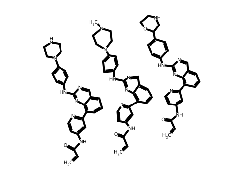 C=CC(=O)Nc1ccnc(-c2cccc3cnc(Nc4ccc(C5CNCCO5)cc4)nc23)c1.C=CC(=O)Nc1ccnc(-c2cccc3cnc(Nc4ccc(N5CCN(C)CC5)cc4)nc23)c1.C=CC(=O)Nc1ccnc(-c2cccc3cnc(Nc4ccc(N5CCNCC5)cc4)nc23)c1